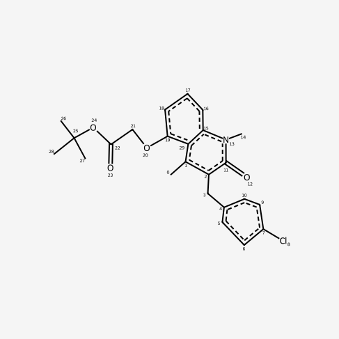 Cc1c(Cc2ccc(Cl)cc2)c(=O)n(C)c2cccc(OCC(=O)OC(C)(C)C)c12